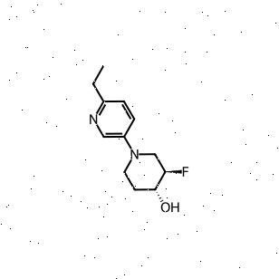 CCc1ccc(N2CC[C@@H](O)[C@H](F)C2)cn1